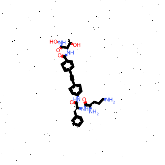 C[C@@H](O)[C@H](NC(=O)c1ccc(C#Cc2ccc(NC(=O)[C@H](Cc3ccccc3)NC(=O)C(N)CCCN)cc2)cc1)C(=O)NO